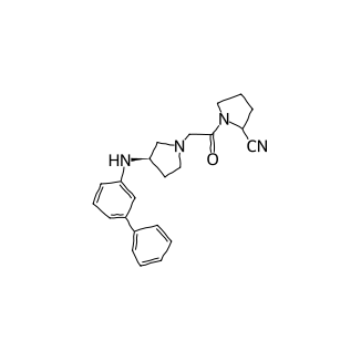 N#CC1CCCN1C(=O)CN1CC[C@@H](Nc2cccc(-c3ccccc3)c2)C1